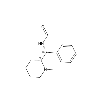 CN1CCCC[C@@H]1[C@H](NC=O)c1ccccc1